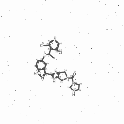 CC(Oc1ccc2[nH]nc(-c3nc4c([nH]3)CN(C(=O)N3CCNC3)C4)c2c1)c1c(Cl)cncc1Cl